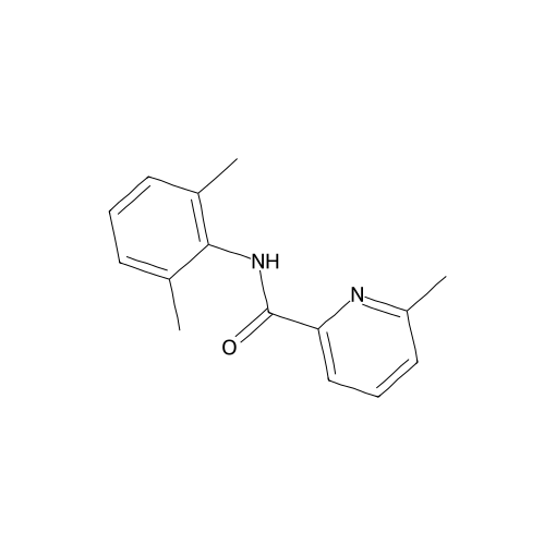 Cc1cccc(C(=O)Nc2c(C)cccc2C)n1